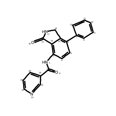 O=C(Nc1ccc(-c2ccccc2)c2c1C(=O)NC2)c1cccnc1